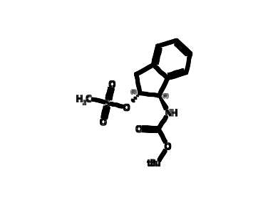 CC(C)(C)OC(=O)N[C@@H]1c2ccccc2C[C@H]1OS(C)(=O)=O